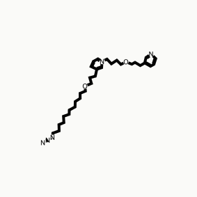 [N-]=[N+]=NCCCCCCCCCCCCOCCCc1ccc[n+](CCCCOCCCc2cccnc2)c1